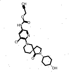 C#CCOC(=O)Nc1cnc(N2CCC[C@]3(CCN([C@H]4CC[C@@H](O)CC4)C3=O)C2)c(Cl)c1